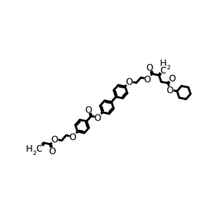 C=CC(=O)OCCOc1ccc(C(=O)Oc2ccc(-c3ccc(OCCOC(=O)C(=C)CC(=O)OC4CCCCC4)cc3)cc2)cc1